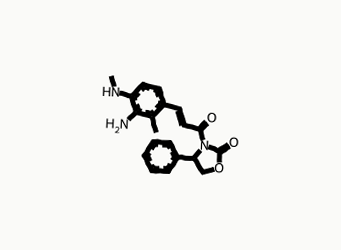 CNc1ccc(/C=C/C(=O)N2C(=O)OCC2c2ccccc2)c(C)c1N